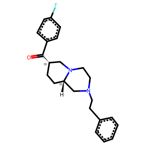 O=C(c1ccc(F)cc1)[C@H]1CC[C@H]2CN(CCc3ccccc3)CCN2C1